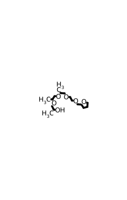 CC(O)COC(C)COC(C)COCCOCC1CCCO1